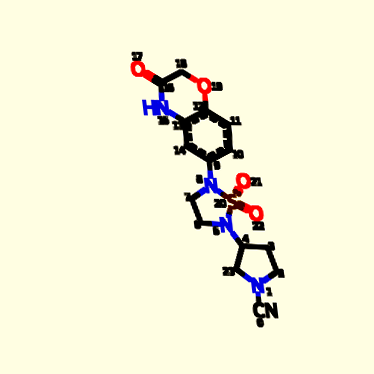 N#CN1CCC(N2CCN(c3ccc4c(c3)NC(=O)CO4)S2(=O)=O)C1